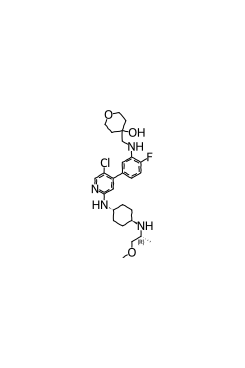 COC[C@@H](C)N[C@H]1CC[C@H](Nc2cc(-c3ccc(F)c(NCC4(O)CCOCC4)c3)c(Cl)cn2)CC1